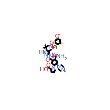 COc1cc(F)cc(S(=O)(=O)N2Cc3c(NC(=O)c4cc(-n5cccc5C(=O)O)c(N5CCN(C)CC5)cc4C(N)=O)n[nH]c3C(C)(C)C2)c1